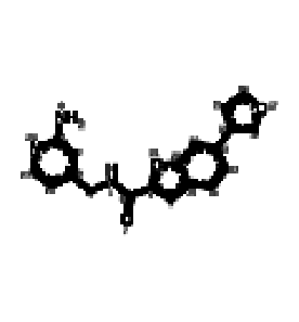 Nc1cc(CNC(=O)c2cc3ccc(-c4ccoc4)cc3o2)ccn1